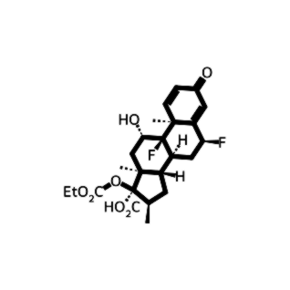 CCOC(=O)O[C@]1(C(=O)O)[C@H](C)C[C@H]2[C@@H]3C[C@H](F)C4=CC(=O)C=C[C@]4(C)[C@@]3(F)[C@@H](O)C[C@@]21C